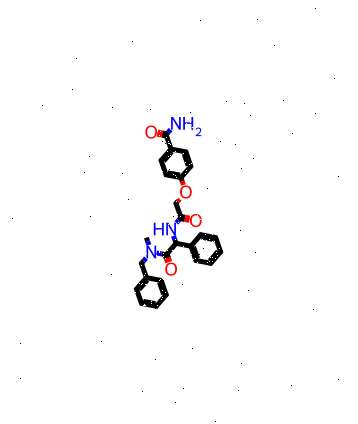 CN(Cc1ccccc1)C(=O)C(NC(=O)COc1ccc(C(N)=O)cc1)c1ccccc1